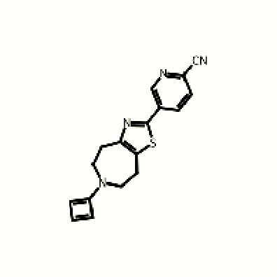 N#Cc1ccc(-c2nc3c(s2)CCN(C2=CC=C2)CC3)cn1